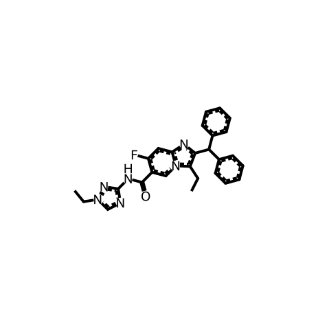 CCc1c(C(c2ccccc2)c2ccccc2)nc2cc(F)c(C(=O)Nc3ncn(CC)n3)cn12